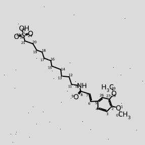 COc1ccc(C=CC(=O)NCCCCCCCCCCCS(=O)(=O)O)cc1OC